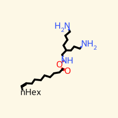 CCCCCC/C=C\CCCCCCCC(=O)ONCC(CCCN)CCCCN